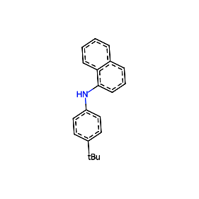 CC(C)(C)c1ccc(Nc2cccc3ccccc23)cc1